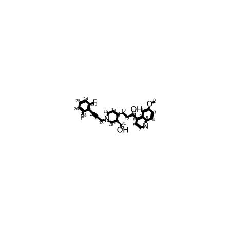 COc1ccc2nccc([C@@H](O)CC[C@@H]3CCN(CC#Cc4c(F)cccc4F)C[C@@H]3CO)c2c1